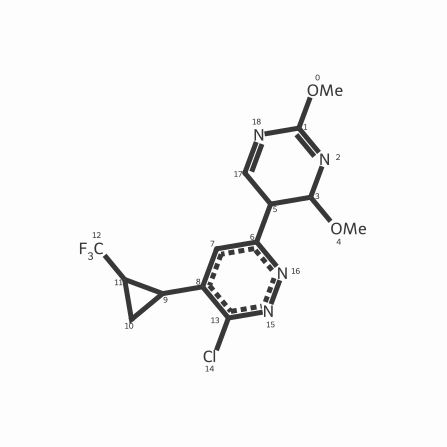 COC1=NC(OC)C(c2cc(C3CC3C(F)(F)F)c(Cl)nn2)C=N1